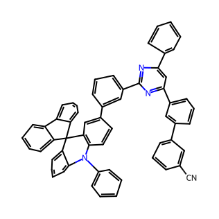 N#Cc1cccc(-c2cccc(-c3cc(-c4ccccc4)nc(-c4cccc(-c5ccc6c(c5)C5(c7ccccc7-c7ccccc75)c5ccccc5N6c5ccccc5)c4)n3)c2)c1